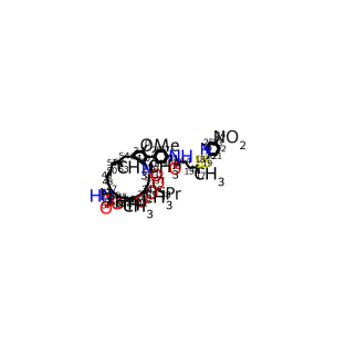 COc1cc2cc(c1-c1ccc(NC(=O)CCC(C)SSc3ccc([N+](=O)[O-])cn3)cc1)N(C)C(=O)C[C@H](OC(=O)C(C)C)[C@]1(C)O[C@H]1[C@H](C)[C@@H]1C[C@H](C/C=C/C=C(\C)C2)NC(=O)O1